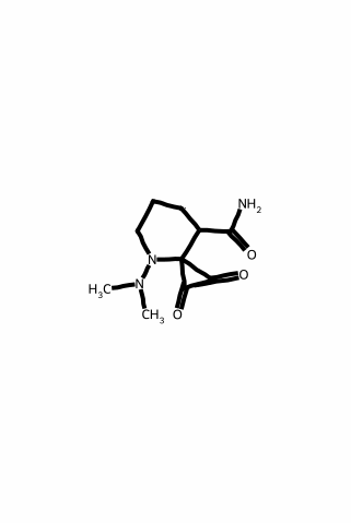 CN(C)N1CC[CH]C(C(N)=O)C12C(=O)C2=O